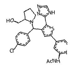 CC(=O)Nc1cc(-c2cc(C(c3ccc(Cl)cc3)N3CCCC3CO)c(-c3nnc[nH]3)s2)ccn1